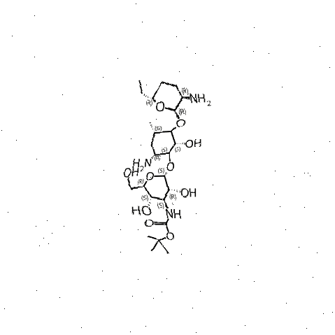 CC[C@@H]1CC[C@@H](N)[C@@H](OC2[C@@H](C)C[C@@H](N)[C@H](O[C@H]3O[C@H](CO)[C@@H](O)[C@H](NC(=O)OC(C)(C)C)[C@H]3O)[C@H]2O)O1